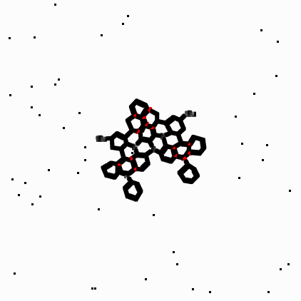 CC(C)(C)C1C=C(C2CC=CCC2)C(N2c3cc(N(c4ccccc4)c4ccccc4)ccc3B3c4ccc(N(c5ccccc5)c5ccccc5)cc4N(C4C(C5CC=CCC5)=CC(C(C)(C)C)CC4C4=CCCCC4)c4cc(-c5ccccc5)cc2c43)C(C2=CCCCC2)C1